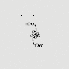 CCCCCCCCCCCCCC(=O)OS(=O)(=O)OC(=O)CCCCCCCCCCCCC